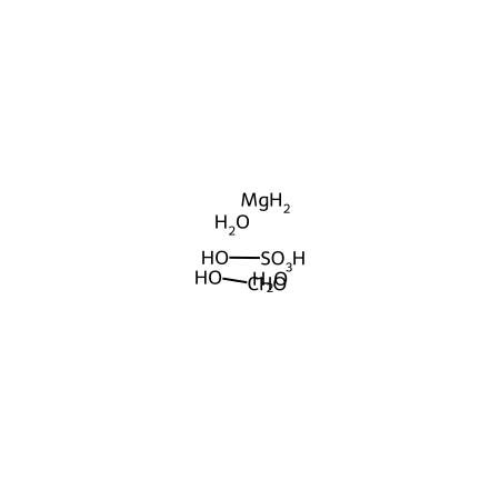 O.O.O=CO.O=S(=O)(O)O.[MgH2]